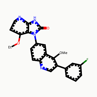 CCOc1ccnc2[nH]c(=O)n(-c3ccc4ncc(-c5cccc(F)c5)c(OC)c4c3)c12